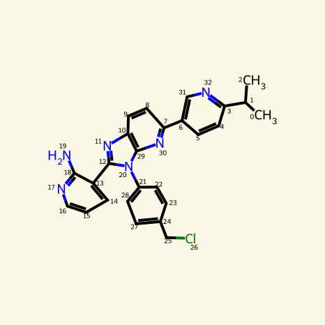 CC(C)c1ccc(-c2ccc3nc(-c4cccnc4N)n(-c4ccc(CCl)cc4)c3n2)cn1